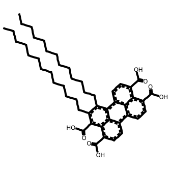 CCCCCCCCCCCCCc1c(C(=O)O)c2c(C(=O)O)ccc3c4ccc(C(=O)O)c5c(C(=O)O)ccc(c(c1CCCCCCCCCCCCC)c23)c54